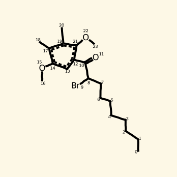 CCCCCCCCC(Br)C(=O)c1cc(OC)c(C)c(C)c1OC